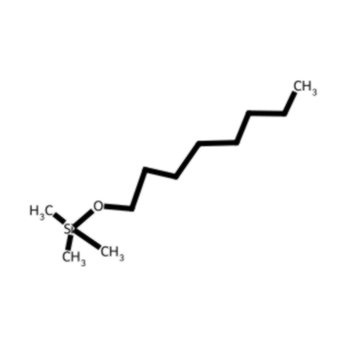 CCCCCCCCO[Si](C)(C)C